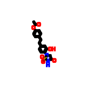 CC(=O)Oc1ccc(CCc2ccc(N3CC(=O)NS3(=O)=O)c(O)c2)cc1